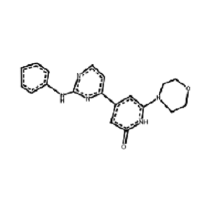 O=c1cc(-c2ccnc(Nc3ccccc3)n2)cc(N2CCOCC2)[nH]1